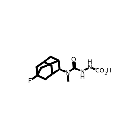 CN(C(=O)NNC(=O)O)C1C2CC3CC1CC(F)(C3)C2